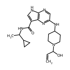 C=CC(O)N1CCC(Nc2cnc3[nH]cc(C(=O)NC(C)C4CC4)c3n2)CC1